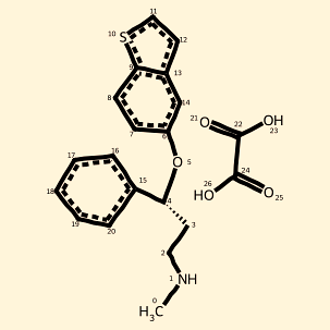 CNCC[C@@H](Oc1ccc2sccc2c1)c1ccccc1.O=C(O)C(=O)O